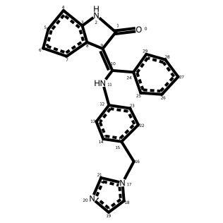 O=C1Nc2ccccc2C1=C(Nc1ccc(Cn2ccnc2)cc1)c1ccccc1